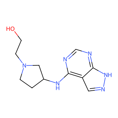 OCCN1CCC(Nc2ncnc3[nH]ncc23)C1